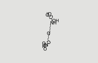 CN1C(=O)CN(c2cccc(CCCCOCCCCCCNC[C@H](O)c3ccc4c(c3)COC(C)(C)O4)c2)C1=O